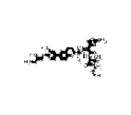 C[n+]1cc(-c2ccc3c(c2)CC[C@H](C(C)(O/N=C(\C(=O)NC2C(=O)N(OSO)C2(C)C)c2csc(N)n2)C(=O)O)O3)cnc1NC[C@H](O)CN